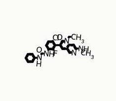 CCn1c(=O)c(-c2c(Cl)ccc(NC(=O)Nc3ccccc3)c2F)cc2cnc(NC)cc21